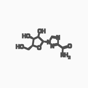 NC(=O)c1ncn([C@H]2O[C@@H](CO)[C@@H](O)C2O)n1